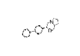 c1ccc(-c2ccc([C@H]3CN4CCCC4CO3)cc2)cc1